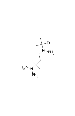 CCC(C)(C)N(P)CCC(C)(C)N(P)P